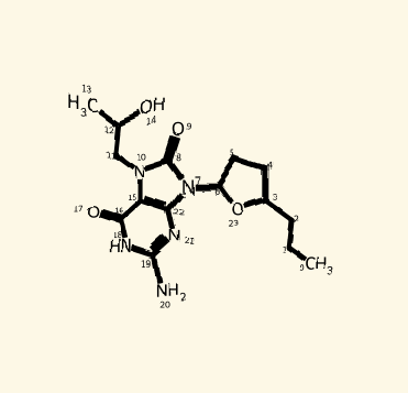 CCCC1CCC(n2c(=O)n(CC(C)O)c3c(=O)[nH]c(N)nc32)O1